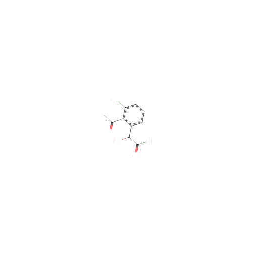 CC(=O)c1c(Cl)cccc1C(O)C(=O)Cl